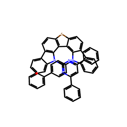 c1ccc(-c2ccc(-n3c4ccccc4c4ccc5sc6ccc7c8ccccc8n(-c8nc(-c9ccccc9)cc(-c9ccccc9)n8)c7c6c5c43)cc2)cc1